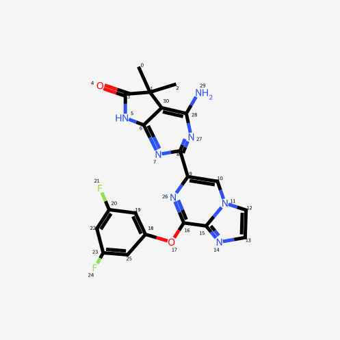 CC1(C)C(=O)Nc2nc(-c3cn4ccnc4c(Oc4cc(F)cc(F)c4)n3)nc(N)c21